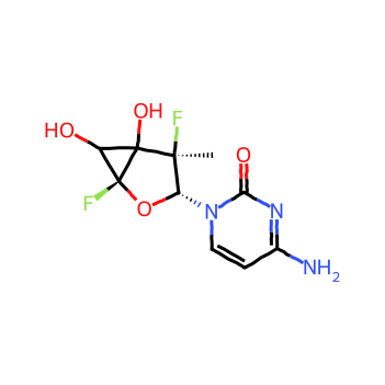 C[C@]1(F)[C@H](n2ccc(N)nc2=O)O[C@]2(F)C(O)C12O